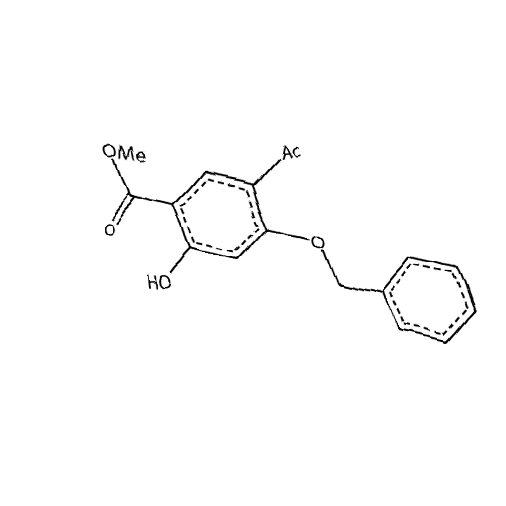 COC(=O)c1cc(C(C)=O)c(OCc2ccccc2)cc1O